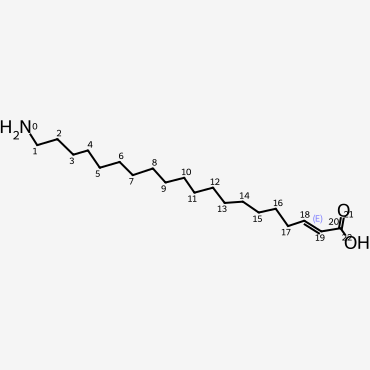 NCCCCCCCCCCCCCCCCC/C=C/C(=O)O